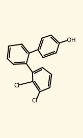 Oc1ccc(-c2ccccc2-c2cccc(Cl)c2Cl)cc1